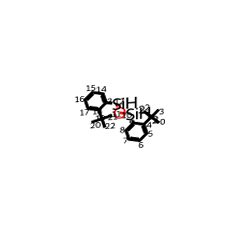 CC(C)(C)c1ccccc1[SiH2]O[SiH2]c1ccccc1C(C)(C)C